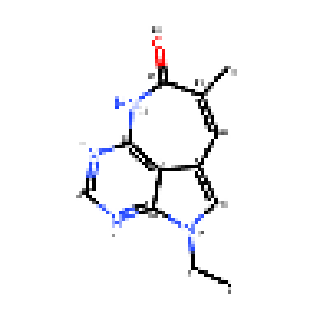 CCn1cc2c3c(ncnc31)NC(=O)C(C)=C2